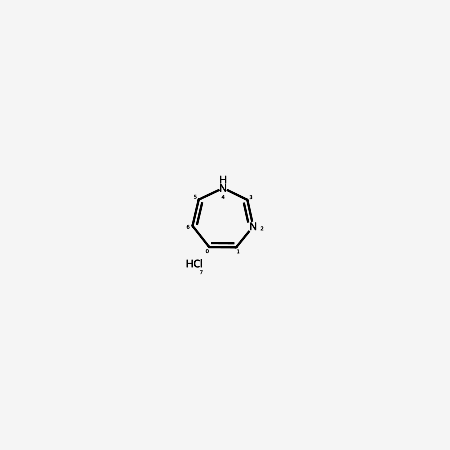 C1=CN=CNC=C1.Cl